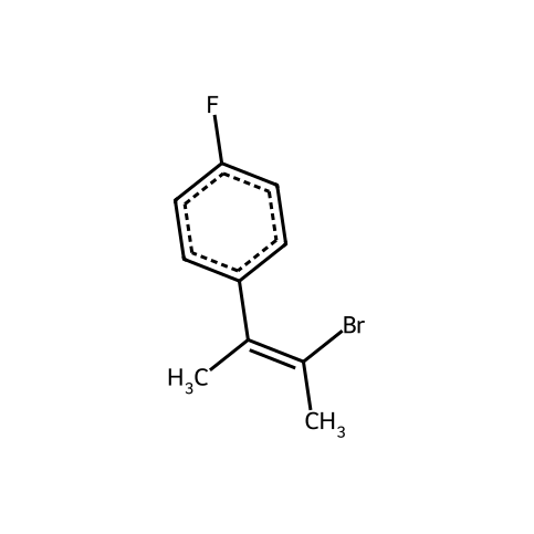 CC(Br)=C(C)c1ccc(F)cc1